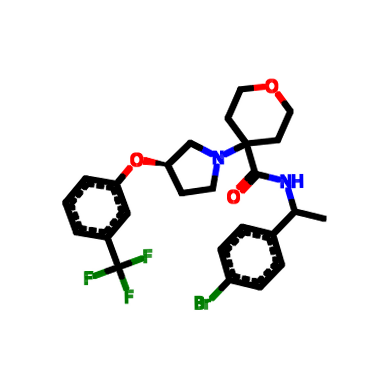 CC(NC(=O)C1(N2CC[C@@H](Oc3cccc(C(F)(F)F)c3)C2)CCOCC1)c1ccc(Br)cc1